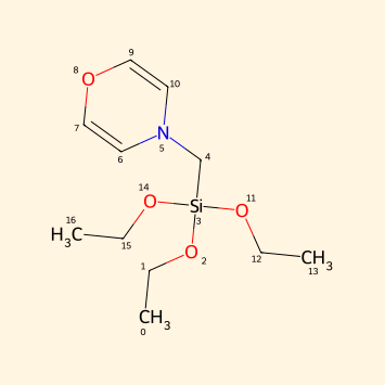 CCO[Si](CN1C=COC=C1)(OCC)OCC